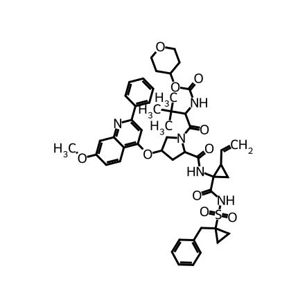 C=CC1CC1(NC(=O)C1CC(Oc2cc(-c3ccccc3)nc3cc(OC)ccc23)CN1C(=O)C(NC(=O)OC1CCOCC1)C(C)(C)C)C(=O)NS(=O)(=O)C1(Cc2ccccc2)CC1